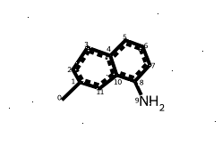 Cc1ccc2cccc(N)c2c1